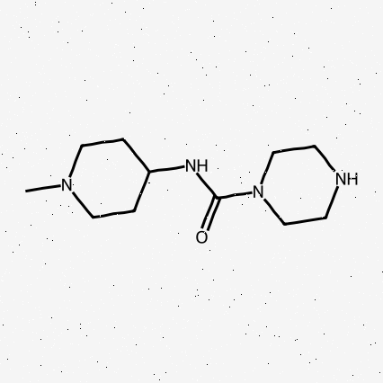 CN1CCC(NC(=O)N2CCNCC2)CC1